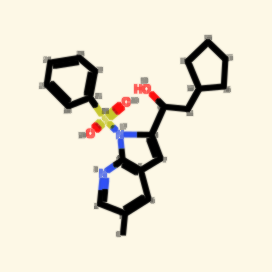 Cc1cnc2c(c1)cc(C(O)CC1CCCC1)n2S(=O)(=O)c1ccccc1